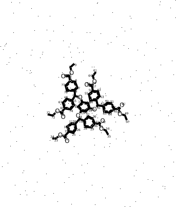 CCOC(=O)c1ccc(C(Oc2cc(OC(c3ccc(C(=O)OCC)cc3)c3ccc(C(=O)OCC)cc3)cc(OC(c3ccc(C(=O)OCC)cc3)c3ccc(C(=O)OCC)cc3)c2)c2ccc(C(=O)OCC)cc2)cc1